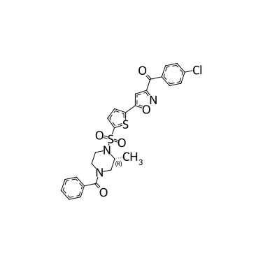 C[C@@H]1CN(C(=O)c2ccccc2)CCN1S(=O)(=O)c1ccc(-c2cc(C(=O)c3ccc(Cl)cc3)no2)s1